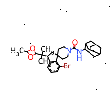 CC1OC(C(C)(C)C2CC3(CCN(C(=O)NC4C5CC6CC(C5)CC4C6)CC3)c3c(Br)cccc32)O1